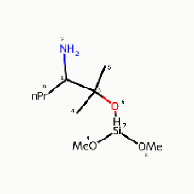 CCCC(N)C(C)(C)O[SiH](OC)OC